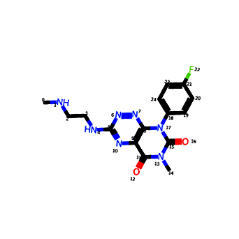 CNCCNc1nnc2c(n1)c(=O)n(C)c(=O)n2-c1ccc(F)cc1